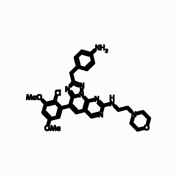 COc1cc(OC)c(Cl)c(-c2cc3cnc(NCCN4CCOCC4)nc3n3nc(Cc4ccc(N)cc4)nc23)c1